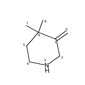 C=C1CNCCC1(C)C